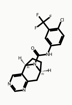 O=C(Nc1ccc(Cl)c(C(F)(F)F)c1)N1[C@H]2CC[C@@H]1c1cncnc1C2